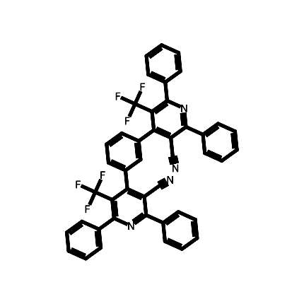 N#Cc1c(-c2ccccc2)nc(-c2ccccc2)c(C(F)(F)F)c1-c1cccc(-c2c(C#N)c(-c3ccccc3)nc(-c3ccccc3)c2C(F)(F)F)c1